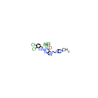 CN1CC2CC1CN2CCn1ncc2nc(NCc3ccc(Cl)c(Cl)c3)[nH]c(=O)c21.Cl.Cl